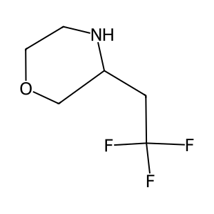 FC(F)(F)CC1COCCN1